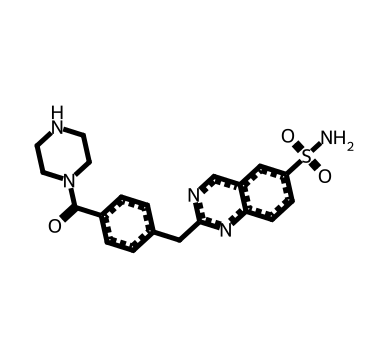 NS(=O)(=O)c1ccc2nc(Cc3ccc(C(=O)N4CCNCC4)cc3)ncc2c1